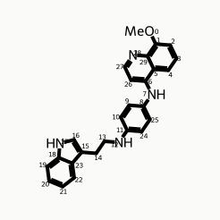 COc1cccc2c(Nc3ccc(NCCc4c[nH]c5ccccc45)cc3)ccnc12